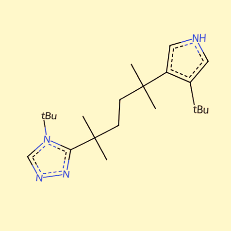 CC(C)(C)c1c[nH]cc1C(C)(C)CCC(C)(C)c1nncn1C(C)(C)C